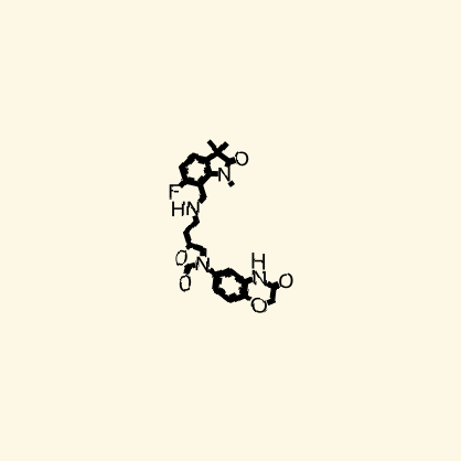 CN1C(=O)C(C)(C)c2ccc(F)c(CNCCC3CN(c4ccc5c(c4)NC(=O)CO5)C(=O)O3)c21